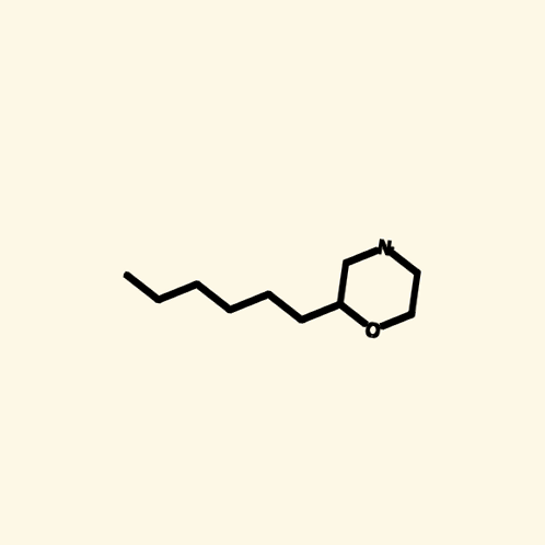 CCCCCCC1C[N]CCO1